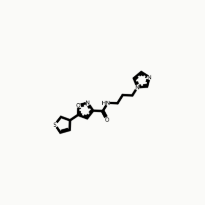 O=C(NCCCn1ccnc1)c1cc(C2C=CSC2)on1